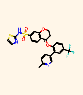 Cc1ccc(-c2cc(C(F)(F)F)ccc2O[C@@H]2CCOc3cc(S(=O)(=O)Nc4nccs4)ccc32)cn1